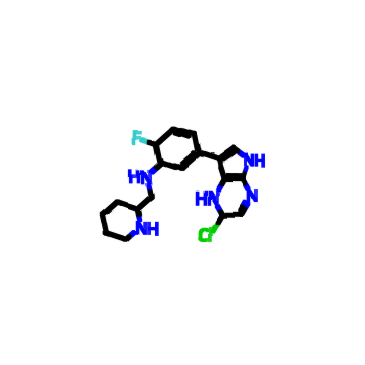 FC1C=CC(c2c[nH]c3c2NC(Cl)C=N3)=CC1NCC1CCCCN1